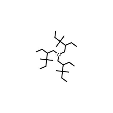 CCC([CH2][Al]([CH2]C(CC)C(C)(C)CC)[CH2]C(CC)C(C)(C)CC)C(C)(C)CC